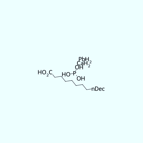 CCCCCCCCCCCCCCCCCC(=O)O.OP(O)O.[CaH2].[PbH2]